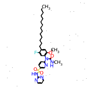 CCCCCCCCCCCCCCc1cc(OC)c(N(C(=O)NC)c2ccc(S(=O)(=O)Nc3ncccn3)cn2)cc1F